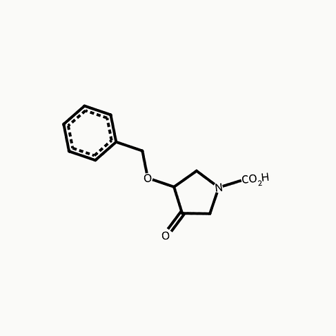 O=C1CN(C(=O)O)CC1OCc1ccccc1